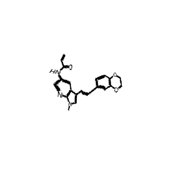 C=CC(=O)Nc1cnc2c(c1)c(C=Cc1ccc3c(c1)OCCO3)cn2C